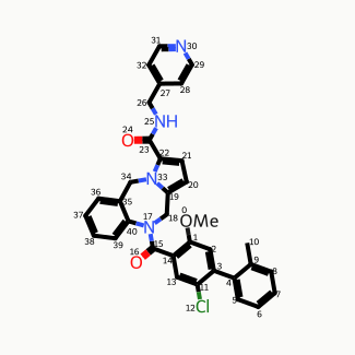 COc1cc(-c2ccccc2C)c(Cl)cc1C(=O)N1Cc2ccc(C(=O)NCc3ccncc3)n2Cc2ccccc21